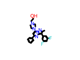 Cc1nn2c(N3CCN(CCO)CC3)cc(-c3ccccc3)nc2c1-c1cc(F)cc(F)c1